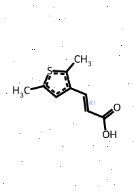 Cc1cc(/C=C/C(=O)O)c(C)s1